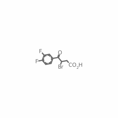 O=C(O)CC(Br)C(=O)c1ccc(F)c(F)c1